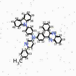 Cc1ccc(-c2ccc(N(c3ccc(-c4nc5ccccc5nc4-c4ccccc4)cc3)c3ccc(-n4c5ccccc5c5ccccc54)cc3)cn2)cc1